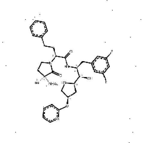 CC[C@@H](C)[C@@]1(NC(C)=O)CCN([C@@H](CCc2ccccc2)C(=O)N[C@@H](Cc2cc(F)cc(F)c2)[C@@H](O)[C@H]2C[C@@H](Oc3ccccn3)CN2)C1=O